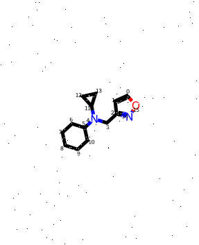 c1cc(CN(C2CCCCC2)C2CC2)no1